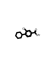 CCCC(=O)c1ccc(C2CCCCC2)c(Cl)c1